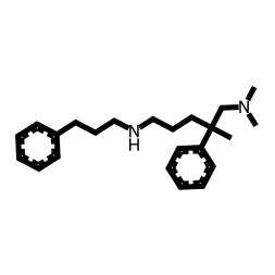 CN(C)CC(C)(CCCNCCCc1ccccc1)c1ccccc1